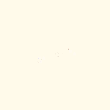 CCc1cnc(N2CCC(COc3ccc(C4=CCC(C(=O)N5CCN(CC6CC6)CC5)CC4)cc3)CC2)nc1